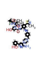 Cc1ncsc1-c1ccc(CNC(=O)[C@H]2C[C@H](O)CN2C(=O)[C@@H](NC(=O)C2(F)CC2)C(C)(C)C)c(/N=N/c2ccc(CN3CCN(c4cc(-c5ccccc5O)nnc4N)CC3)cc2)c1